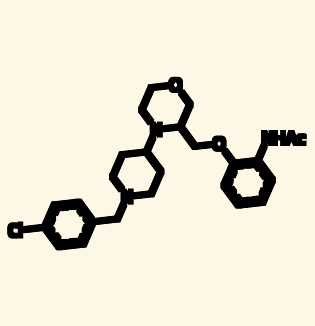 CC(=O)Nc1ccccc1OCC1COCCN1C1CCN(Cc2ccc(Cl)cc2)CC1